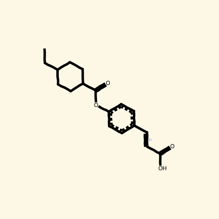 CCC1CCC(C(=O)Oc2ccc(/C=C/C(=O)O)cc2)CC1